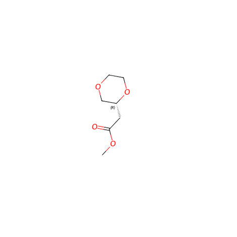 COC(=O)C[C@@H]1COCCO1